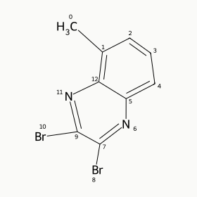 Cc1cccc2nc(Br)c(Br)nc12